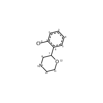 Clc1ccccc1C1C[N]CCO1